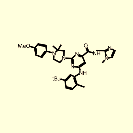 COc1ccc(N2CCN(c3nc(Nc4cc(C(C)(C)C)ccc4C)cc(C(=O)NCc4nccn4C)n3)CC2(C)C)cc1